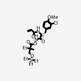 C=CC(=O)N[C@H](Cc1ccc(OC)c(Cl)c1)C(=O)NOC(=O)C(C)(CC)CO[Si](CC)(CC)CC